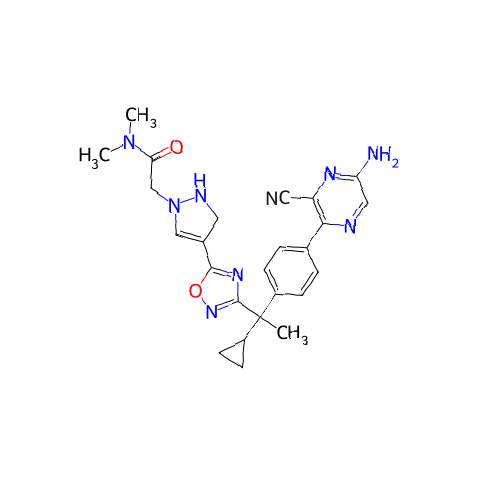 CN(C)C(=O)CN1C=C(c2nc(C(C)(c3ccc(-c4ncc(N)nc4C#N)cc3)C3CC3)no2)CN1